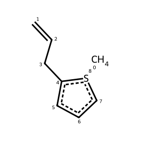 C.C=CCc1cccs1